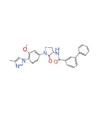 COc1cc(N2CCC(NC(=O)c3cccc(-c4ccccc4)c3)C2=O)ccc1-n1cnc(C)c1